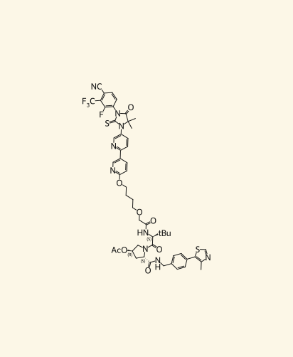 CC(=O)O[C@@H]1C[C@@H](C(=O)NCc2ccc(-c3scnc3C)cc2)N(C(=O)[C@@H](NC(=O)COCCCCOc2ccc(-c3ccc(N4C(=S)N(c5ccc(C#N)c(C(F)(F)F)c5F)C(=O)C4(C)C)cn3)cn2)C(C)(C)C)C1